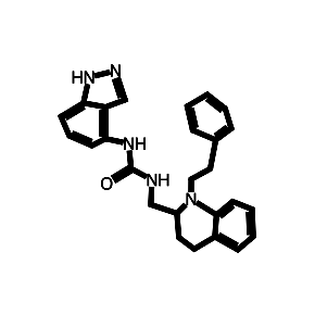 O=C(NCC1CCc2ccccc2N1CCc1ccccc1)Nc1cccc2[nH]ncc12